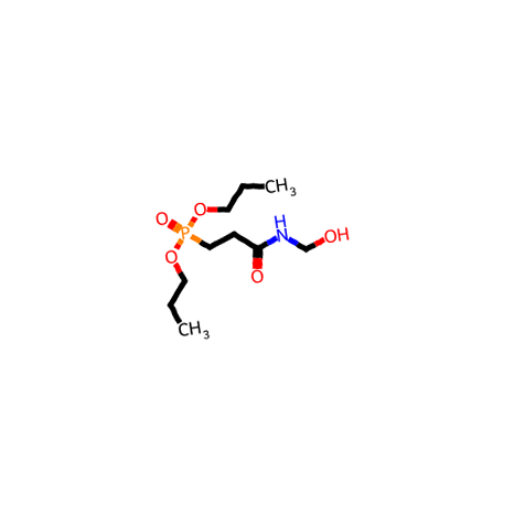 CCCOP(=O)(CCC(=O)NCO)OCCC